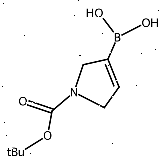 CC(C)(C)OC(=O)N1CC=C(B(O)O)C1